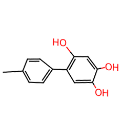 Cc1ccc(-c2cc(O)c(O)cc2O)cc1